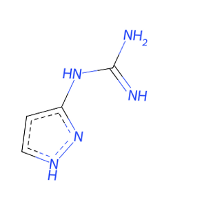 N=C(N)Nc1cc[nH]n1